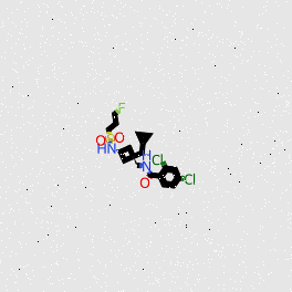 O=C(NC[C@]1(CC2CC2)C[C@H](NS(=O)(=O)CCCF)C1)c1ccc(Cl)cc1Cl